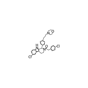 O=C(Cc1ccc(Cl)cc1)N1CCc2c([nH]c3ccc(Cl)cc23)C1c1ccc(CCCN2CCOCC2)cc1